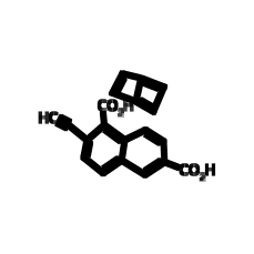 C#Cc1ccc2cc(C(=O)O)ccc2c1C(=O)O.c1cc2ccc1-2